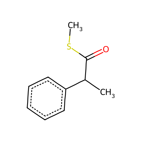 CSC(=O)C(C)c1ccccc1